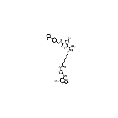 CCCc1cc(N[C@@H]2CC[C@@H](NC(=O)CCCCCCCNC(C(=O)N3C[C@H](O)C[C@H]3C(=O)NCc3ccc(-c4scnc4C)cc3)C(C)(C)C)C2)n2nccc2n1